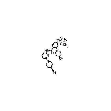 CC1(S(=O)(=O)Nc2ccc(C(=O)Nc3cccc(N4CCC(C#N)CC4)n3)c(N3CCC4(CC3)CC4)c2)CC1